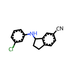 N#Cc1ccc2c(c1)C(Nc1cccc(Cl)c1)CC2